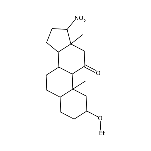 CCOC1CCC2CCC3C4CCC([N+](=O)[O-])C4(C)CC(=O)C3C2(C)C1